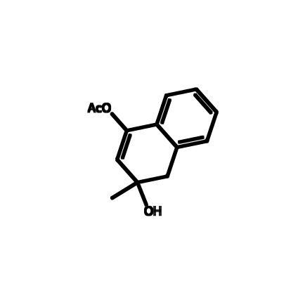 CC(=O)OC1=CC(C)(O)Cc2ccccc21